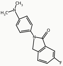 CN(C)c1ccc(N2Cc3ccc(F)cc3C2=O)cc1